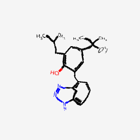 CC(C)Cc1cc(C(C)(C)C)cc(-c2cccc3[nH]nnc23)c1O